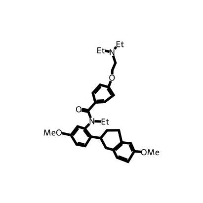 CCN(CC)CCOc1ccc(C(=O)N(CC)c2cc(OC)ccc2C2CCc3cc(OC)ccc3C2)cc1